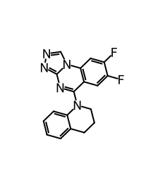 Fc1cc2c(N3CCCc4ccccc43)nc3nncn3c2cc1F